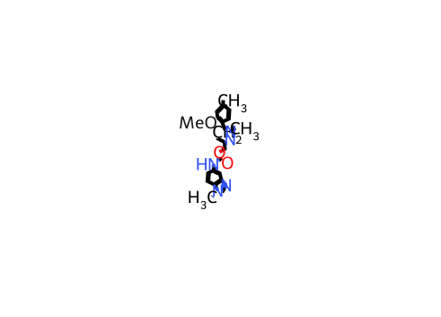 C=C/C(COC(=O)Nc1ccc2c(c1)ncn2C)=N\N(C)Cc1ccc(C)cc1OC